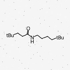 CC(C)(C)CCCCNC(=O)CCC(C)(C)C